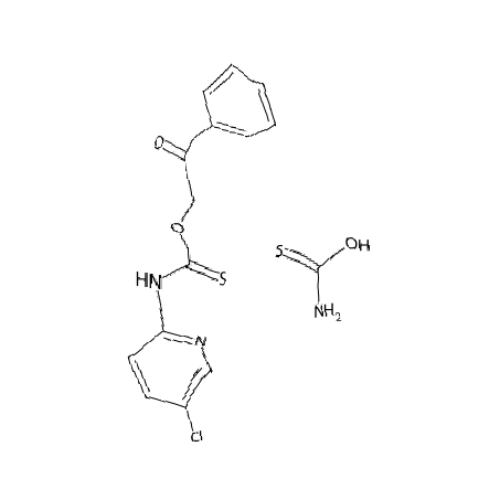 NC(O)=S.O=C(COC(=S)Nc1ccc(Cl)cn1)c1ccccc1